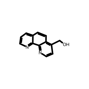 OCc1ccnc2c1ccc1cccnc12